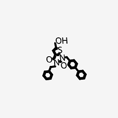 O=c1c2cc(CO)sc2n(Cc2ccc(-c3ccccc3)cc2)c(=O)n1CCc1ccccc1